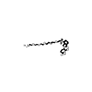 NCCOCCOCCOCCOCCOCCS(=O)(=O)c1cccc2c1CN(C1CCC(=O)NC1=O)C2=O